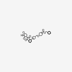 O=C1CCC(N2C(=O)c3cccc(N4CCC(COC5CCN(C(=O)OCc6ccccc6)CC5)CC4)c3C2=O)C(=O)N1